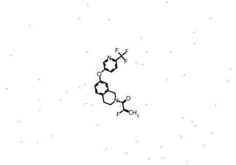 C=C(F)C(=O)N1CCc2ccc(Oc3ccc(C(F)(F)F)nc3)cc2C1